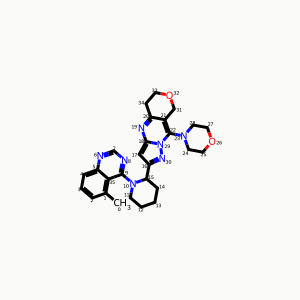 Cc1cccc2ncnc(N3CCCCC3c3cc4nc5c(c(N6CCOCC6)n4n3)COCC5)c12